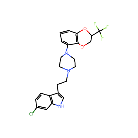 FC(F)(F)C1COc2c(cccc2N2CCN(CCc3c[nH]c4cc(Cl)ccc34)CC2)O1